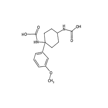 COc1cccc(C2(NC(=O)O)CCC(NC(=O)O)CC2)c1